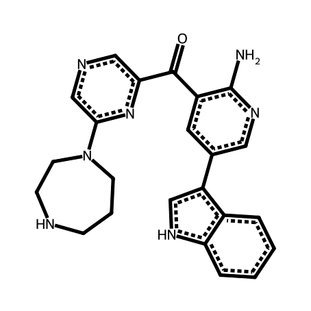 Nc1ncc(-c2c[nH]c3ccccc23)cc1C(=O)c1cncc(N2CCCNCC2)n1